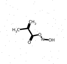 C=C(C)C(=O)O[N]O